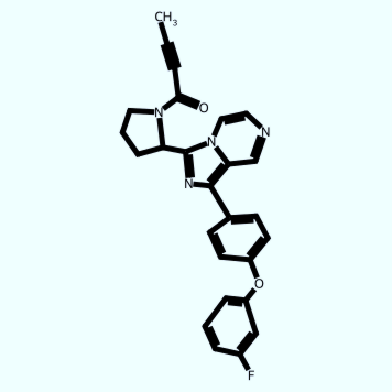 CC#CC(=O)N1CCCC1c1nc(-c2ccc(Oc3cccc(F)c3)cc2)c2cnccn12